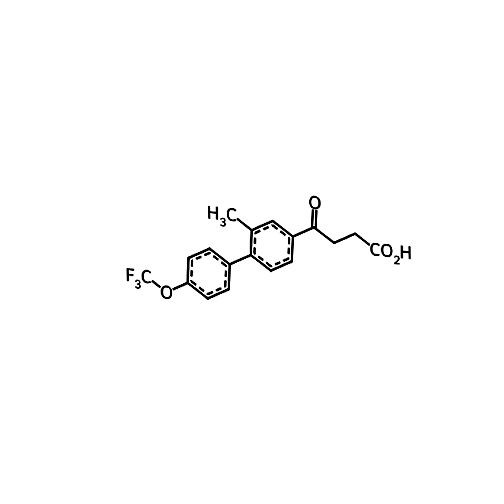 Cc1cc(C(=O)CCC(=O)O)ccc1-c1ccc(OC(F)(F)F)cc1